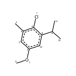 COc1cc(C)c(Cl)c(C(C)C)c1